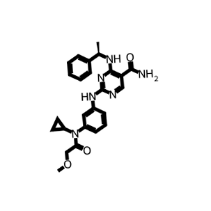 COCC(=O)N(c1cccc(Nc2ncc(C(N)=O)c(N[C@H](C)c3ccccc3)n2)c1)C1CC1